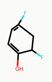 OC1=CC=C(F)CC1F